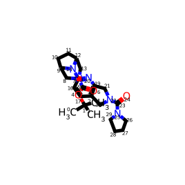 CC(C)(C)OC(=O)N1CC2CCC(C1)N2c1ccc2c(n1)CN(C(=O)N1CCCC1)C2